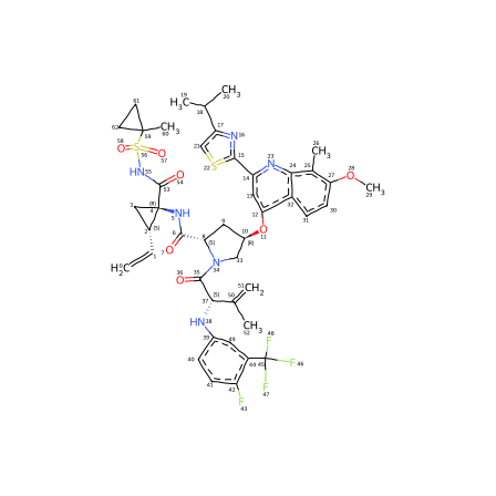 C=C[C@@H]1C[C@]1(NC(=O)[C@@H]1C[C@@H](Oc2cc(-c3nc(C(C)C)cs3)nc3c(C)c(OC)ccc23)CN1C(=O)[C@@H](Nc1ccc(F)c(C(F)(F)F)c1)C(=C)C)C(=O)NS(=O)(=O)C1(C)CC1